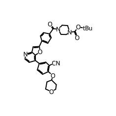 CC(C)(C)OC(=O)N1CCN(C(=O)c2ccc(-c3cc4nccc(-c5ccc(OC6CCOCC6)c(C#N)c5)c4o3)cc2)CC1